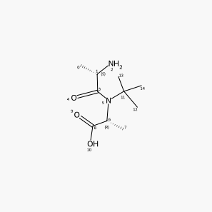 C[C@H](N)C(=O)N([C@H](C)C(=O)O)C(C)(C)C